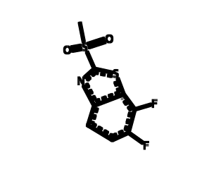 CS(=O)(=O)c1nc2ccc(F)c(F)c2s1